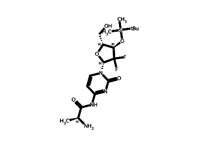 C[C@H](N)C(=O)Nc1ccn([C@@H]2O[C@H](CO)[C@@H](O[Si](C)(C)C(C)(C)C)C2(F)F)c(=O)n1